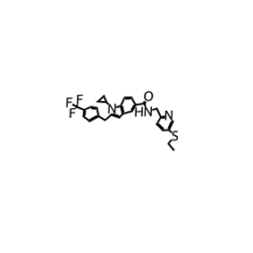 CCSc1ccc(CNC(=O)c2ccc3c(c2)cc(Cc2ccc(C(F)(F)F)cc2)n3C2CC2)nc1